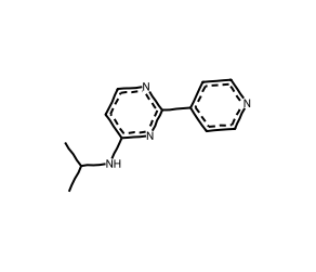 CC(C)Nc1ccnc(-c2ccncc2)n1